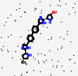 C[C@H]1CN[C@H](c2ncc(-c3ccc(-c4ccc(-c5cnc([C@@H]6C[C@@H](O)CN6)[nH]5)cc4)cc3)[nH]2)C1